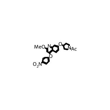 COc1cc(Oc2ccc([N+](=O)[O-])cc2)c2ccc(OC3CCN(C(C)=O)CC3)cc2n1